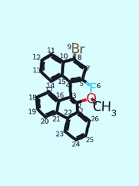 COc1c(-c2c(F)cc(Br)c3ccccc23)c2ccccc2c2ccccc12